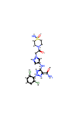 N=S1(=O)CCN(C(=O)Cn2cc(Nc3nn(-c4c(Cl)cccc4Cl)nc3C(N)=O)cn2)CC1